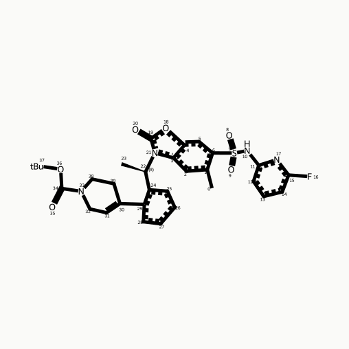 Cc1cc2c(cc1S(=O)(=O)Nc1cccc(F)n1)oc(=O)n2[C@H](C)c1ccccc1C1=CCN(C(=O)OC(C)(C)C)CC1